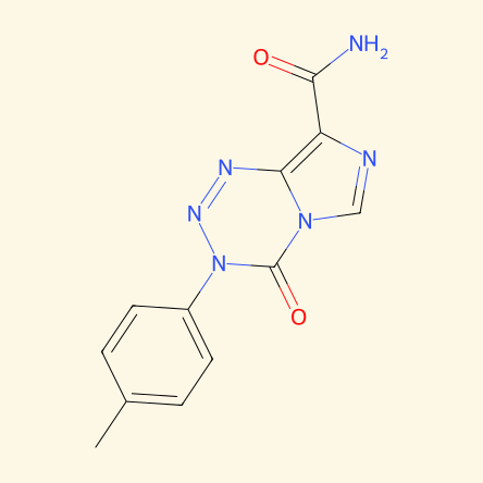 Cc1ccc(-n2nnc3c(C(N)=O)ncn3c2=O)cc1